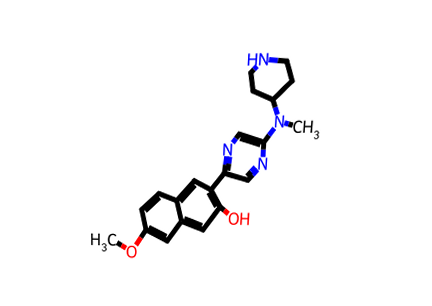 COc1ccc2cc(-c3cnc(N(C)C4CCNCC4)cn3)c(O)cc2c1